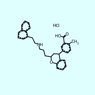 Cc1ccc(C2CC(CCCNCCc3cccc4ccccc34)Oc3ccccc32)cc1C(=O)O.Cl